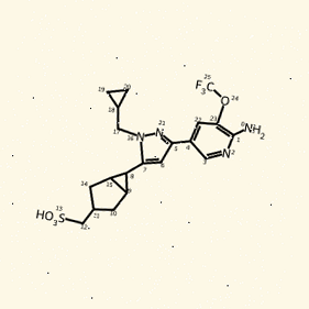 Nc1ncc(-c2cc(C3C4CC(CS(=O)(=O)O)CC43)n(CC3CC3)n2)cc1OC(F)(F)F